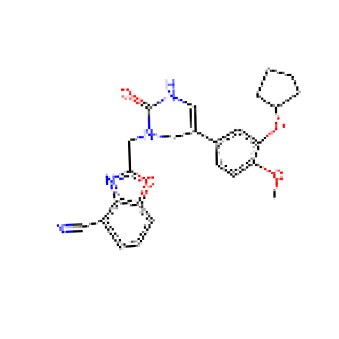 COc1ccc(C2=CNC(=O)N(Cc3nc4c(C#N)cccc4o3)C2)cc1OC1CCCC1